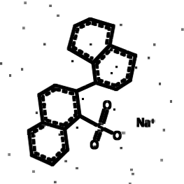 O=S(=O)([O-])c1c(-c2cccc3ccccc23)ccc2ccccc12.[Na+]